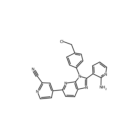 N#Cc1cc(-c2ccc3nc(-c4cccnc4N)n(-c4ccc(CCl)cc4)c3n2)ccn1